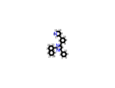 c1ccc(-c2cc(-c3cccc(-c4cccnc4)c3)nc(-c3cccc4ccccc34)n2)cc1